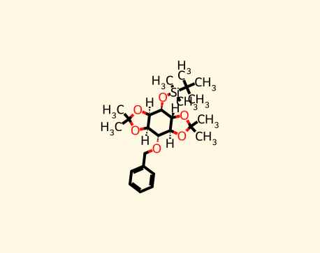 CC1(C)O[C@@H]2[C@@H](OCc3ccccc3)[C@@H]3OC(C)(C)O[C@H]3[C@H](O[Si](C)(C)C(C)(C)C)[C@@H]2O1